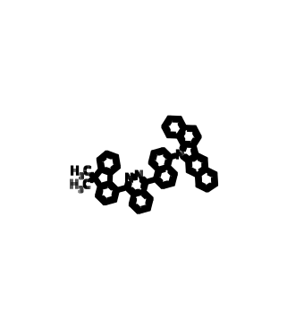 CC1(C)c2ccccc2-c2c(-c3nnc(-c4cccc5c(-n6c7cc8ccccc8cc7c7ccc8ccccc8c76)cccc45)c4ccccc34)cccc21